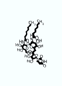 CCCCCCCC(=O)NC1C(OC2OC(C[C@@H](O)[C@H]3O[C@@H](n4ccc(=O)[nH]c4=O)[C@H](O)[C@@H]3O)C(O)C(O)C2NC(=O)CCCCCCC)OC(CO)C(O)C1O